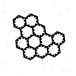 c1cc2ccc3cc4ccc5ccc6c7cccc8ccc9cc%10c(c1)c2c3c1c4c5c6c(c9c87)c%101